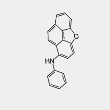 c1ccc(Nc2ccc3oc4cccc5ccc2c3c54)cc1